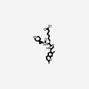 CCC(=O)CCCCC[C@H](NC(=O)[C@H]1CC12CCNCC2)c1ncc(-c2cc3ccc(C)nc3cc2C)[nH]1